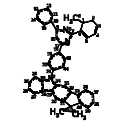 CC1CC=CC=C1c1nc(-c2ccccc2)cc(-c2ccc(-n3c4ccccc4c4cc5c(cc43)-c3ccccc3C5(C)C)cc2)n1